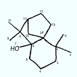 CC1(C)CCCC2(O)C(C)(C)C3CCC12C3